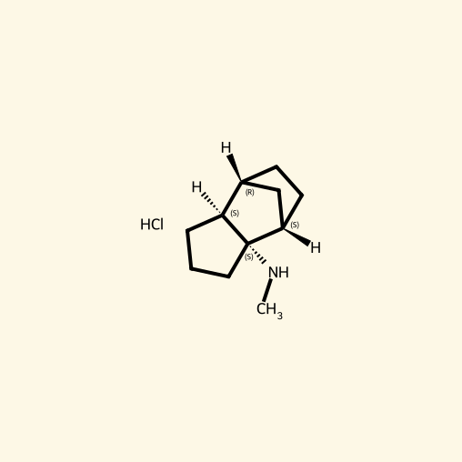 CN[C@]12CCC[C@H]1[C@@H]1CC[C@H]2C1.Cl